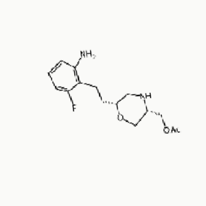 CC(=O)OC[C@@H]1CO[C@H](CCc2c(N)cccc2F)CN1